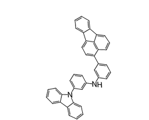 c1cc(Nc2cccc(-n3c4ccccc4c4ccccc43)c2)cc(-c2ccc3c4c(cccc24)-c2ccccc2-3)c1